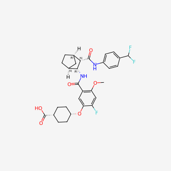 COc1cc(F)c(O[C@H]2CC[C@@H](C(=O)O)CC2)cc1C(=O)N[C@@H]1[C@H]2CC[C@H](C2)[C@@H]1C(=O)Nc1ccc(C(F)F)cc1